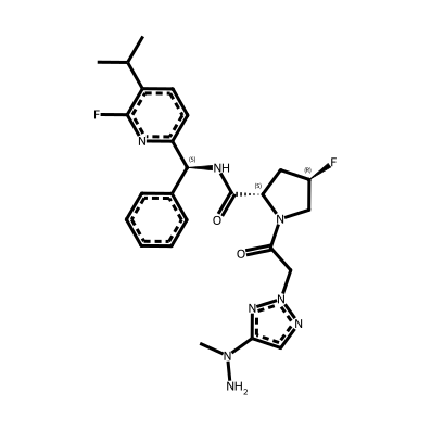 CC(C)c1ccc([C@@H](NC(=O)[C@@H]2C[C@@H](F)CN2C(=O)Cn2ncc(N(C)N)n2)c2ccccc2)nc1F